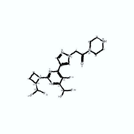 O=C(Cn1cc(-c2nc(N3CC[C@@H]3C(F)F)nc(C(F)F)c2F)cn1)N1CCNCC1